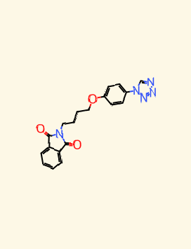 O=C1c2ccccc2C(=O)N1CCCCOc1ccc(-n2cnnn2)cc1